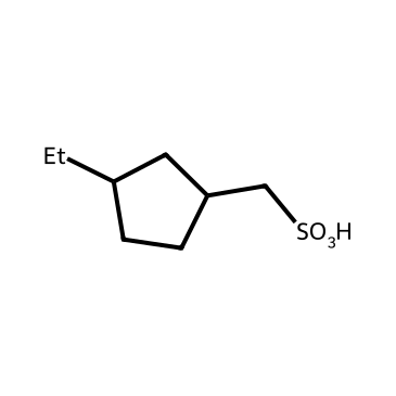 CCC1CCC(CS(=O)(=O)O)C1